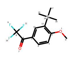 COc1ccc(C(=O)C(F)(F)F)cc1[Si](C)(C)C